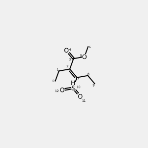 CCC(C(=O)OC)=C(CC)[SH](=O)=O